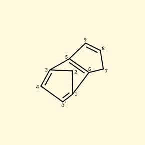 [C]1=C2CC(=C1)C1=C2CC=C1